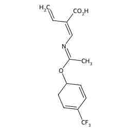 C=C/C(=C\N=C(/C)OC1C=CC(C(F)(F)F)=CC1)C(=O)O